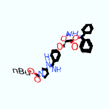 CCCCOC(=O)N1CCC(NC(=N)c2ccc(OC[C@H](ON)C(=O)OC(c3ccccc3)c3ccccc3)cc2)C1